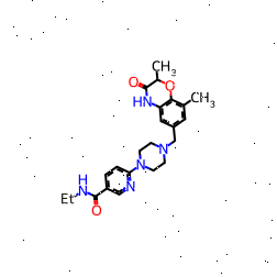 CCNC(=O)c1ccc(N2CCN(Cc3cc(C)c4c(c3)NC(=O)C(C)O4)CC2)nc1